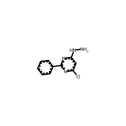 NNc1cc(Cl)nc(-c2ccccc2)n1